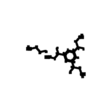 CC(CO)c1cc(C(C)CO)cc(C(C)CO)c1.C[CH]CO